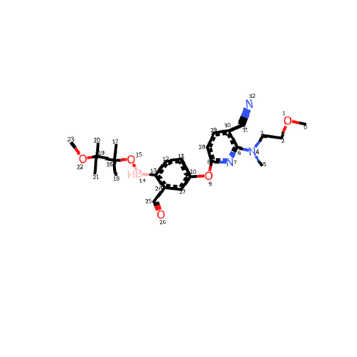 COCCN(C)c1nc(Oc2ccc(BOC(C)(C)C(C)(C)OC)c(C=O)c2)ccc1C#N